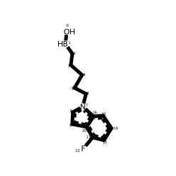 OBCCCCCn1ccc2c(F)cccc21